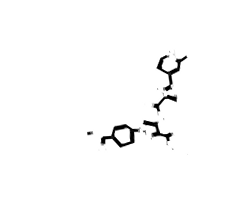 COC(=O)c1ccc(-n2cc(NC(=O)c3coc(-c4ccnc(C)c4)n3)c(C(N)=O)n2)cc1